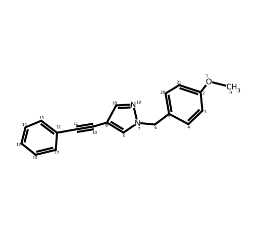 COc1ccc(Cn2cc(C#Cc3ccccc3)cn2)cc1